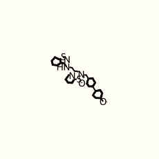 COc1ccc(-c2ccc(CN(CCCNc3nsc4ccccc34)[S+]([O-])c3ccccn3)cc2)cc1